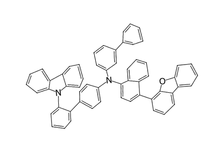 c1ccc(-c2cccc(N(c3ccc(-c4ccccc4-n4c5ccccc5c5ccccc54)cc3)c3ccc(-c4cccc5c4oc4ccccc45)c4ccccc34)c2)cc1